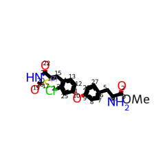 COC(=O)[C@@H](N)Cc1ccc(Oc2ccc(/C=C3\SC(=O)NC3=O)c(Cl)c2)cc1